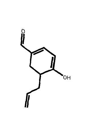 C=CCC1CC(C=O)=CC=C1O